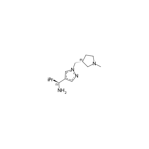 CC(C)[C@H](N)c1cnn(C[C@@H]2CCN(C)C2)c1